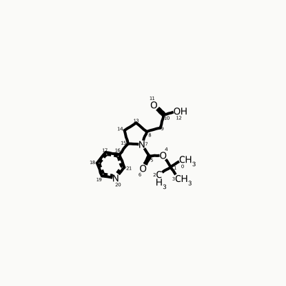 CC(C)(C)OC(=O)N1C(CC(=O)O)CCC1c1cccnc1